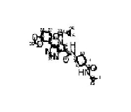 O=C(N[C@H]1CC[C@H](C(=O)NC2CC2)CC1)c1c[nH]c2c(-c3c(OCC4CC4)ccc4c3OCO4)ncnc12